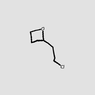 ClCCC1CCO1